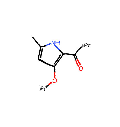 Cc1cc(OC(C)C)c(C(=O)C(C)C)[nH]1